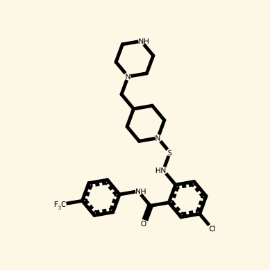 O=C(Nc1ccc(C(F)(F)F)cc1)c1cc(Cl)ccc1NSN1CCC(CN2CCNCC2)CC1